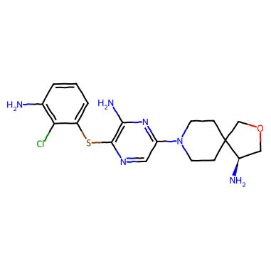 Nc1cccc(Sc2ncc(N3CCC4(CC3)COC[C@H]4N)nc2N)c1Cl